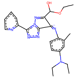 CCOC(O)C1=Nn2c(nnc2-c2ccccn2)/C1=N\c1ccc(N(CC)CC)cc1C